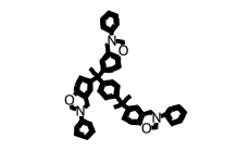 CC(C)(c1ccc(C(C)(c2ccc3c(c2)CN(c2ccccc2)CO3)c2ccc3c(c2)CN(c2ccccc2)CO3)cc1)c1ccc2c(c1)CN(c1ccccc1)CO2